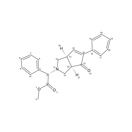 COC(=O)[C@H](c1ccccc1)N1C[C@H]2C=C(c3ccccc3)C(=O)[C@H]2C1